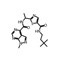 CC(NC(=O)c1ncnc2c1cnn2C)c1ncc(C(=O)NCCC(C)(C)C)s1